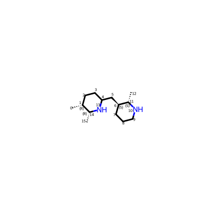 C[C@@H]1CCC(C[C@@H]2CCCN[C@H]2C)N[C@@H]1C